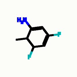 CC1C(N)=CC(F)=CC1F